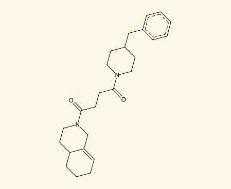 O=C(CCC(=O)N1CCC2CCCC=C2C1)N1CCC(Cc2ccccc2)CC1